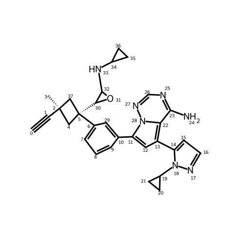 C#C[C@]1(C)C[C@@](c2cccc(-c3cc(-c4ccnn4C4CC4)c4c(N)ncnn34)c2)(C2OC2NC2CC2)C1